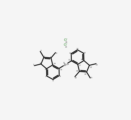 CC1=C(C)C(C)c2ccc[c]([Zr+2][c]3cccc4c3C(C)=C(C)C4C)c21.[Cl-].[Cl-]